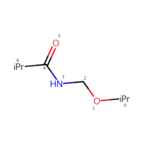 CC(C)OCNC(=O)C(C)C